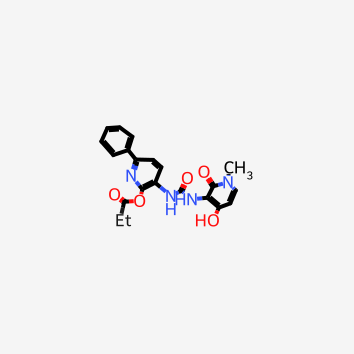 CCC(=O)Oc1nc(-c2ccccc2)ccc1NC(=O)Nc1c(O)ccn(C)c1=O